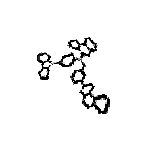 c1cc(CN(c2ccc(-n3c4ccccc4c4ccccc43)cc2)c2cc3ccccc3c3ccccc23)cc(-c2ccc3c(ccc4ccccc43)c2)c1